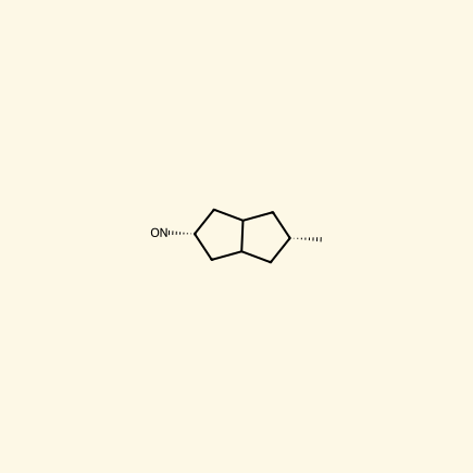 C[C@H]1CC2C[C@@H](N=O)CC2C1